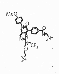 COc1ccc(-n2cc3cnc(N(COCC[Si](C)(C)C)CC(F)(F)F)nc3c(-c3ccc(C(=O)N=CN(C)C)cc3)c2=O)cc1